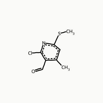 CSc1cc(C)c(C=O)c(Cl)n1